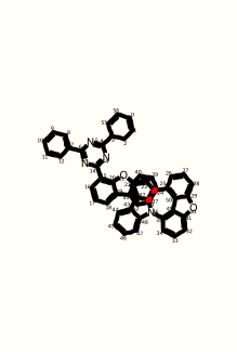 C1=CCC(c2nc(-c3ccccc3)nc(-c3cccc4c3oc3cc(-c5cccc6oc7cccc(-n8c9ccccc9c9ccccc98)c7c56)ccc34)n2)C=C1